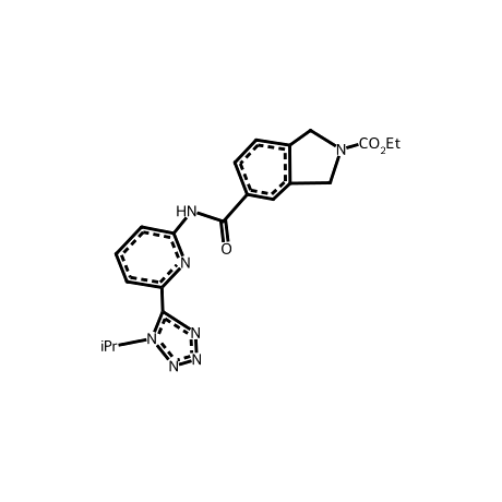 CCOC(=O)N1Cc2ccc(C(=O)Nc3cccc(-c4nnnn4C(C)C)n3)cc2C1